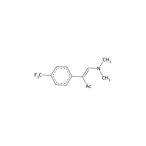 CC(=O)C(=CN(C)C)c1ccc(C(F)(F)F)cc1